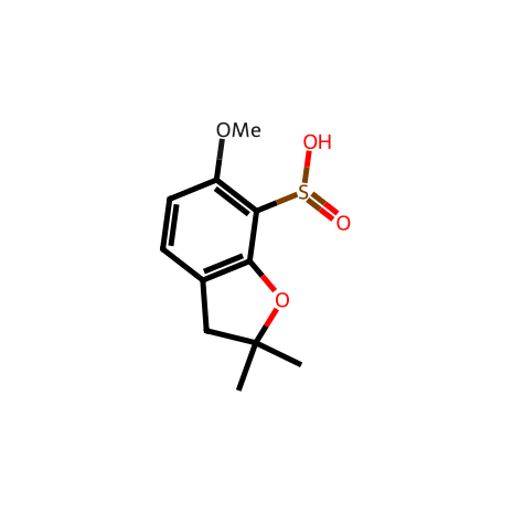 COc1ccc2c(c1S(=O)O)OC(C)(C)C2